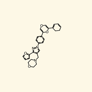 C1=CCCC(C2=COC=C(c3ccc(-n4cc(CN5CCOCC5)c(-c5ccco5)n4)cc3)O2)=C1